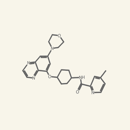 Cc1ccnc(C(=O)NC2CCC(Oc3cc(N4CCOCC4)cc4nccnc34)CC2)c1